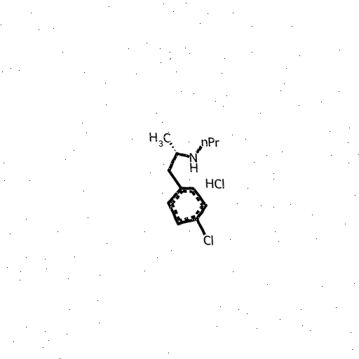 CCCN[C@@H](C)Cc1ccc(Cl)cc1.Cl